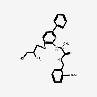 COc1ccccc1CNC(=O)[C@@H](C)Nc1nc(-c2ccccc2)ccc1NCC(N)CS